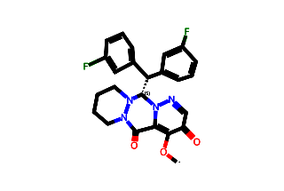 [CH2]Oc1c2n(ncc1=O)[C@@H](C(c1cccc(F)c1)c1cccc(F)c1)N1CCCCN1C2=O